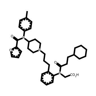 Cc1ccc(N(C(=O)c2ccco2)C2CCN(CCCc3ccccc3N(CC(=O)O)C(=O)CCC3CCCCC3)CC2)cc1